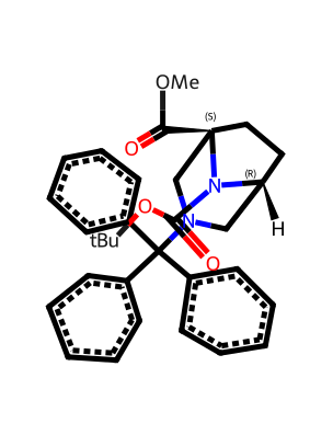 COC(=O)[C@]12CC[C@H](CN(C(c3ccccc3)(c3ccccc3)c3ccccc3)C1)N2C(=O)OC(C)(C)C